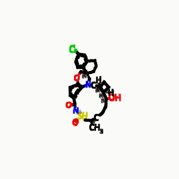 C[C@H]1CCC[C@H](O)[C@@H]2CC[C@H]2CN2C[C@@]3(CCCc4cc(Cl)ccc43)COc3ccc(cc32)C(=O)/N=[SH](=O)\C1